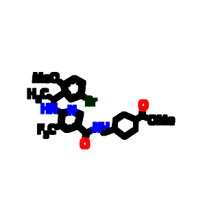 COC(=O)C1CCC(CNC(=O)c2cnc(N[C@@H](C)c3cc(Br)ccc3OC)c(C(F)(F)F)c2)CC1